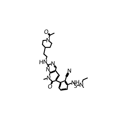 CCN(C)SNc1cccc(-c2cc3cnc(NCCC4CCN(C(C)=O)CC4)nc3n(C)c2=O)c1C#N